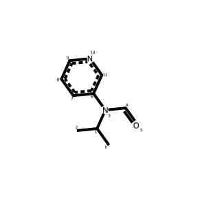 CC(C)N(C=O)c1cccnc1